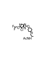 CC(=O)N[C@@H](C)CO[C@H]1CC[C@H](Oc2nc3cnc(OCC(F)F)c(Cl)c3n2C)CC1